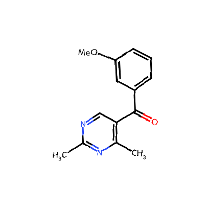 COc1cccc(C(=O)c2cnc(C)nc2C)c1